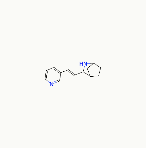 C(=CC1NC2CCC1C2)c1cccnc1